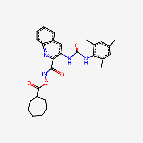 Cc1cc(C)c(NC(=O)Nc2cc3ccccc3nc2C(=O)NOC(=O)C2CCCCCC2)c(C)c1